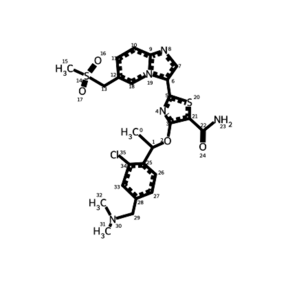 CC(Oc1nc(-c2cnc3ccc(CS(C)(=O)=O)cn23)sc1C(N)=O)c1ccc(CN(C)C)cc1Cl